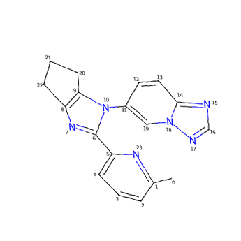 Cc1cccc(-c2nc3c(n2-c2ccc4ncnn4c2)CCC3)n1